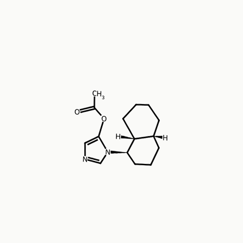 CC(=O)Oc1cncn1[C@@H]1CCC[C@H]2CCCC[C@H]21